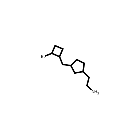 CCC1CCC1CC1CCC(CCN)C1